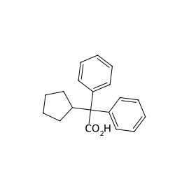 O=C(O)C(c1ccccc1)(c1ccccc1)C1CCCC1